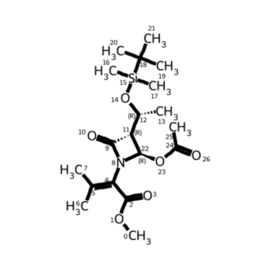 COC(=O)C(=C(C)C)N1C(=O)[C@H]([C@@H](C)O[Si](C)(C)C(C)(C)C)[C@H]1OC(C)=O